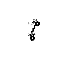 CN(C)c1ccccc1CCCCCN1C(=O)c2ccccc2C1=O